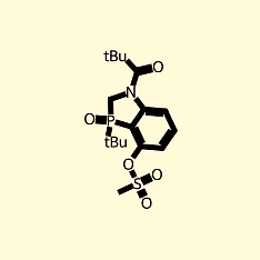 CC(C)(C)C(=O)N1CP(=O)(C(C)(C)C)c2c(OS(C)(=O)=O)cccc21